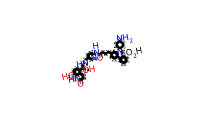 N[C@H]1CC[C@H](N(C(=O)O)c2cc(CCCC(=O)Nc3ccc(CNCC(O)c4ccc(O)c5[nH]c(=O)ccc45)cn3)ccc2-c2ccccc2)CC1